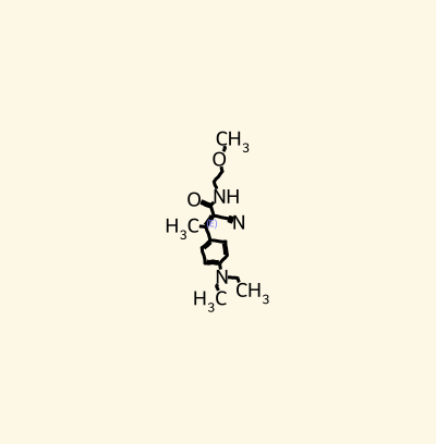 CCOCCNC(=O)/C(C#N)=C(\C)c1ccc(N(CC)CC)cc1